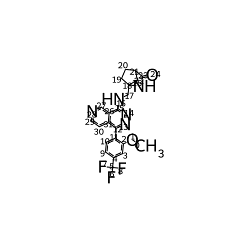 COc1cc(C(F)(F)F)ccc1-c1nnc(NCC23CCC(C2)C(=O)N3)c2cnccc12